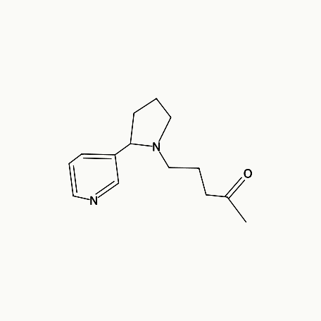 CC(=O)CCCN1CCCC1c1cccnc1